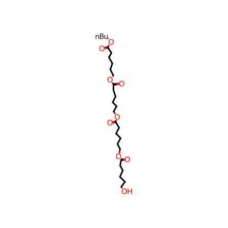 CCCCOC(=O)CCCCCOC(=O)CCCCCOC(=O)CCCCCOC(=O)CCCCCO